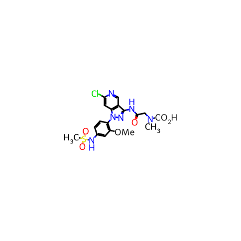 COc1cc(NS(C)(=O)=O)ccc1-n1nc(NC(=O)CN(C)C(=O)O)c2cnc(Cl)cc21